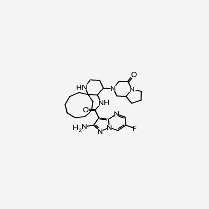 Nc1nn2cc(F)cnc2c1C(=O)NC1C(N2CC(=O)N3CCCC3C2)CCNC12CCCCCCCC2